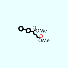 COC(=O)C=CC=C(C(=O)OC)c1ccc(-c2ccccc2)cc1